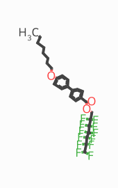 CCCCCCCCOc1ccc(-c2ccc(C(=O)OCC(F)(F)C(F)(F)C(F)(F)C(F)(F)C(F)(F)C(F)F)cc2)cc1